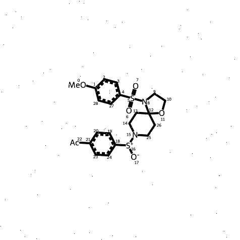 COc1ccc(S(=O)(=O)N2CCOC23CCN([S+]([O-])c2ccc(C(C)=O)cc2)CC3)cc1